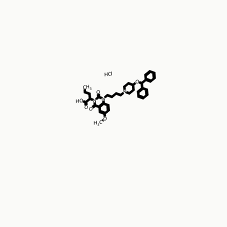 CCCC(C(=O)O)n1c(=O)c2cc(OC)ccc2n(CCCCN2CCC(OC(c3ccccc3)c3ccccc3)CC2)c1=O.Cl